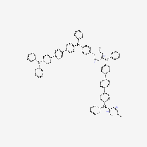 C=C/C=C\C(=C/C)N(c1ccc(-c2ccc(-c3ccc(N(C(/C=C\Cc4ccc(N(c5ccccc5)c5ccc(-c6ccc(-c7ccc(N(c8ccccc8)c8ccccc8)cc7)cc6)cc5)cc4)=C/C=C)c4ccccc4)cc3)cc2)cc1)C1C=CC=CC1